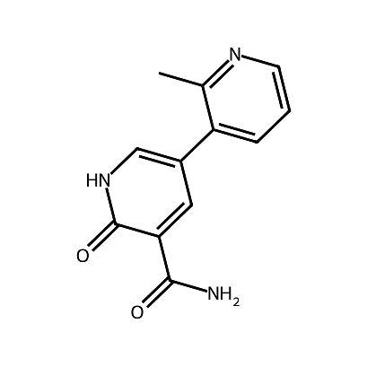 Cc1ncccc1-c1c[nH]c(=O)c(C(N)=O)c1